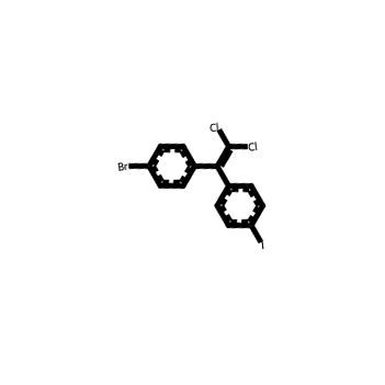 ClC(Cl)=C(c1ccc(Br)cc1)c1ccc(I)cc1